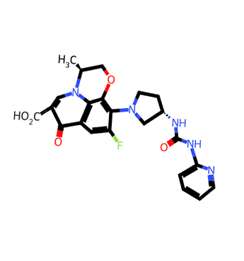 C[C@H]1COc2c(N3CC[C@H](NC(=O)Nc4ccccn4)C3)c(F)cc3c(=O)c(C(=O)O)cn1c23